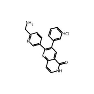 Cl.NCc1ccc(-c2nc3cc[nH]c(=O)c3cc2-c2ccccc2)cn1